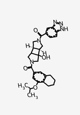 CC(C)Oc1cc(C(=O)N2CC3[C@H]4CN(C(=O)c5ccc6[nH]nnc6c5)C[C@H]4C3(O)C2)cc2c1CCCC2